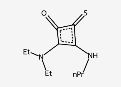 CCCNc1c(N(CC)CC)c(=O)c1=S